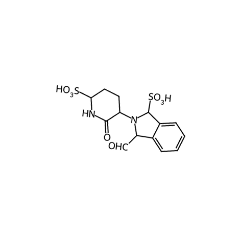 O=CC1c2ccccc2C(S(=O)(=O)O)N1C1CCC(S(=O)(=O)O)NC1=O